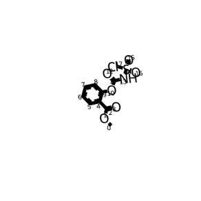 COC(=O)c1ccccc1OC(=O)NS(=O)(=O)Cl